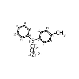 Cc1ccc(Sc2ccccc2)cc1.[Cl-].[Cl-].[Zn+2]